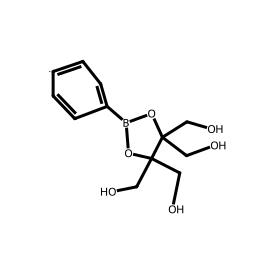 OCC1(CO)OB(c2cc[c]cc2)OC1(CO)CO